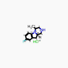 CC1CNC[C@H]2Cc3cc(F)ccc3N12.Cl